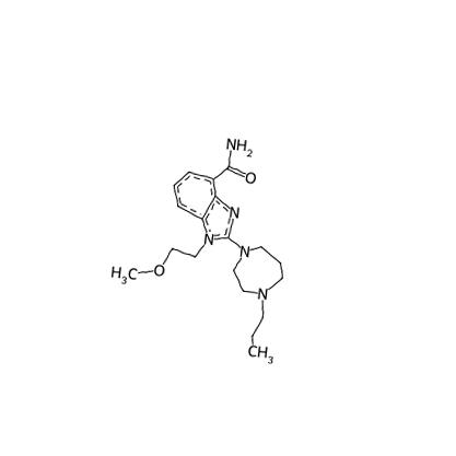 CCCN1CCCN(c2nc3c(C(N)=O)cccc3n2CCOC)CC1